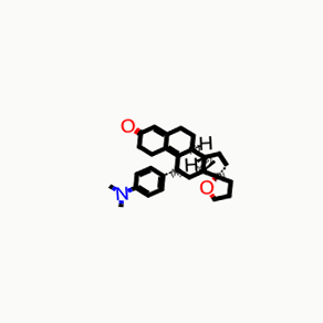 CN(C)c1ccc([C@H]2C[C@]3(C)[C@@H](CC[C@@]34CCCO4)[C@@H]3CCC4=CC(=O)CCC4=C32)cc1